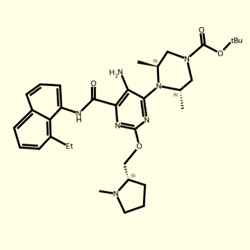 CCc1cccc2cccc(NC(=O)c3nc(OC[C@@H]4CCCN4C)nc(N4[C@@H](C)CN(C(=O)OC(C)(C)C)C[C@@H]4C)c3N)c12